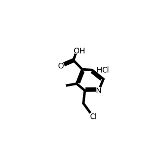 Cc1c(C(=O)O)ccnc1CCl.Cl